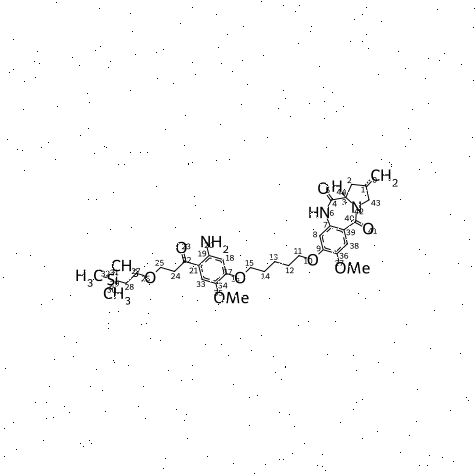 C=C1C[C@H]2C(=O)Nc3cc(OCCCCCOc4cc(N)c(C(=O)CCOCC[Si](C)(C)C)cc4OC)c(OC)cc3C(=O)N2C1